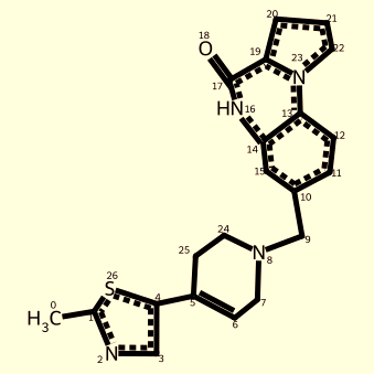 Cc1ncc(C2=CCN(Cc3ccc4c(c3)[nH]c(=O)c3cccn34)CC2)s1